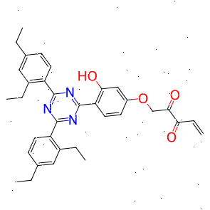 C=CC(=O)C(=O)COc1ccc(-c2nc(-c3ccc(CC)cc3CC)nc(-c3ccc(CC)cc3CC)n2)c(O)c1